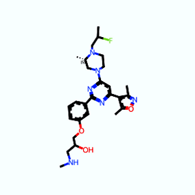 CNCC(O)COc1cccc(-c2nc(-c3c(C)noc3C)cc(N3CCN(CC(C)F)[C@@H](C)C3)n2)c1